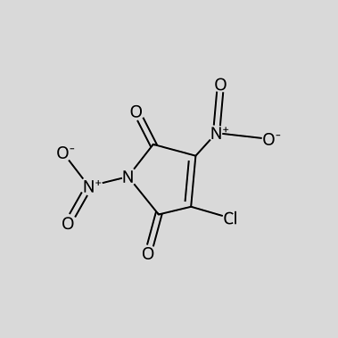 O=C1C(Cl)=C([N+](=O)[O-])C(=O)N1[N+](=O)[O-]